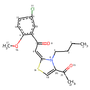 CCCCN1C(=CC(=O)c2cc(Cl)ccc2OC)SC=C1C(C)=O